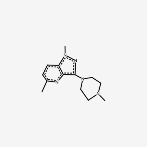 Cc1ccc2c(n1)c(N1CCN(C)CC1)nn2C